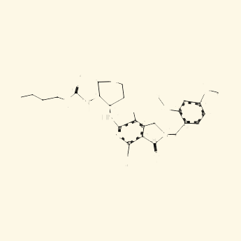 CCCCOC(=O)N[C@H]1COCC[C@H]1Nc1nc(Cl)c2c(c1F)CN(Cc1ccc(OC)cc1OC)C2=O